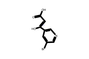 O=C(O)/C=C(\O)c1cncc(Br)c1